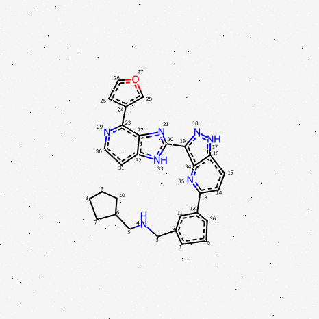 c1cc(CNCC2CCCC2)cc(-c2ccc3[nH]nc(-c4nc5c(-c6ccoc6)nccc5[nH]4)c3n2)c1